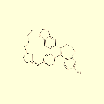 Oc1ccc2c(c1)OCCC(c1ccc3occc3c1)=C2c1ccc(O[C@H]2CCN(CCCF)C2)cc1